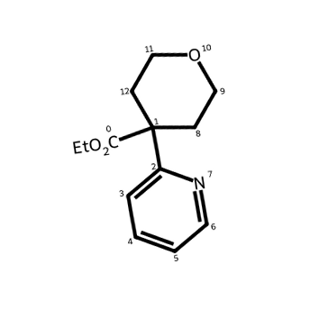 CCOC(=O)C1(c2ccccn2)CCOCC1